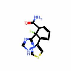 NC(=O)C1C=CC=C(c2cscn2)C1(F)c1nc[nH]n1